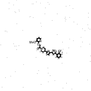 COc1cccnc1OCC(=O)N1CCC(c2nc(C3=NOC(c4[c]cccc4C(F)(F)F)C3)cs2)CC1